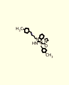 Cc1ccc(/C=C/CCn2c(=N)n([C@@H](Cc3ccc(C)cc3)C(=O)N3CCC3)c3ccccc32)cc1